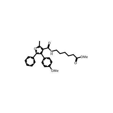 COC(=O)CCCCCNC(=O)c1c(C)oc(-c2ccccc2)c1-c1ccc(OC)cc1